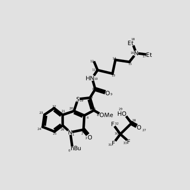 CCCCn1c(=O)c2c(OC)c(C(=O)NC(C)CCCN(CC)CC)sc2c2ccccc21.O=C(O)C(F)(F)F